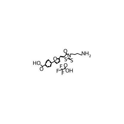 NCCCCN1C(=O)C(=Cc2ccc(-c3ccc(C(=O)O)cc3)o2)SC1=S.O=C(O)C(F)(F)F